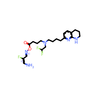 N/C=C(F)\C=N\OC(=O)CCCN(CCCCc1ccc2c(n1)NCCC2)CC(F)F